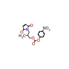 CC(COC(=O)Oc1ccc([N+](=O)[O-])cc1)CN1C(=O)C=CC1=O